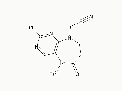 CN1C(=O)CCN(CC#N)c2nc(Cl)ncc21